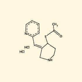 CC(=O)SC1CCNCC1=Cc1ccccn1.Cl.Cl